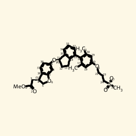 COC(=O)C[C@@H]1COc2cc(O[C@@H]3CCc4c(-c5c(C)cc(OCCCS(C)(=O)=O)cc5C)cccc43)ccc21